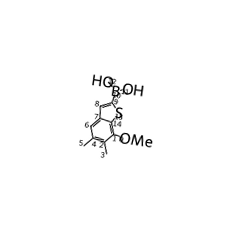 COc1c(C)c(C)cc2cc(B(O)O)sc12